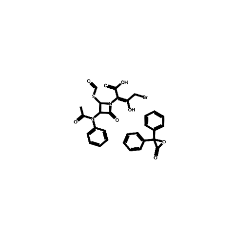 CC(=O)N(c1ccccc1)C1C(=O)N(C(C(=O)O)=C(O)CBr)C1SC=O.O=C1OC1(c1ccccc1)c1ccccc1